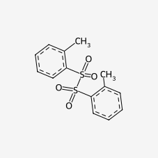 Cc1ccccc1S(=O)(=O)S(=O)(=O)c1ccccc1C